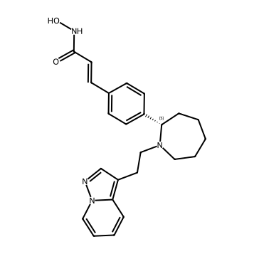 O=C(C=Cc1ccc([C@@H]2CCCCCN2CCc2cnn3ccccc23)cc1)NO